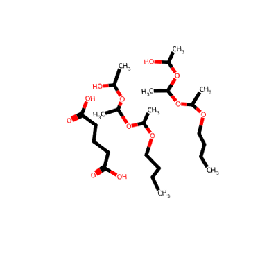 CCCCOC(C)OC(C)OC(C)O.CCCCOC(C)OC(C)OC(C)O.O=C(O)CCCC(=O)O